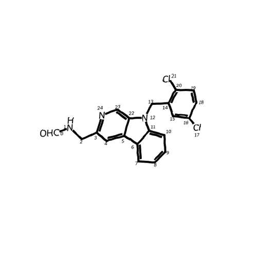 O=CNCc1cc2c3ccccc3n(Cc3cc(Cl)ccc3Cl)c2cn1